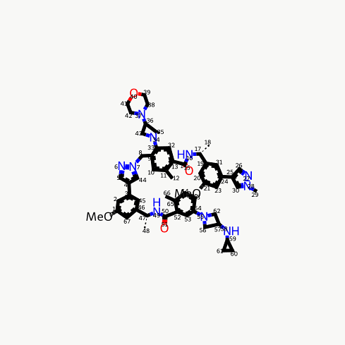 COc1cc(-c2cnn(Cc3cc(C)c(C(=O)N[C@H](C)c4cc(OC)cc(-c5cnn(C)c5)c4)cc3N3CC(N4CCOCC4)C3)c2)cc([C@@H](C)NC(=O)c2cc(N3CC(NC4CC4)C3)ccc2C)c1